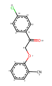 N#Cc1ccccc1OCC(=O)c1ccc(Cl)cc1